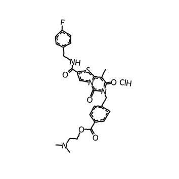 Cc1c(=O)n(Cc2ccc(C(=O)OCCN(C)C)cc2)c(=O)n2cc(C(=O)NCc3ccc(F)cc3)sc12.Cl